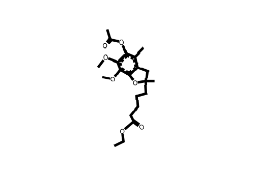 CCOC(=O)CCCCC1(C)Cc2c(C)c(OC(C)=O)c(OC)c(OC)c2O1